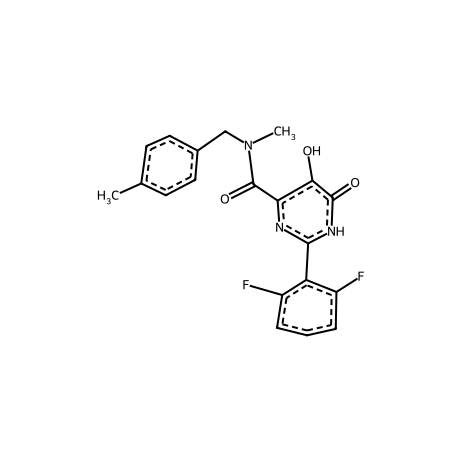 Cc1ccc(CN(C)C(=O)c2nc(-c3c(F)cccc3F)[nH]c(=O)c2O)cc1